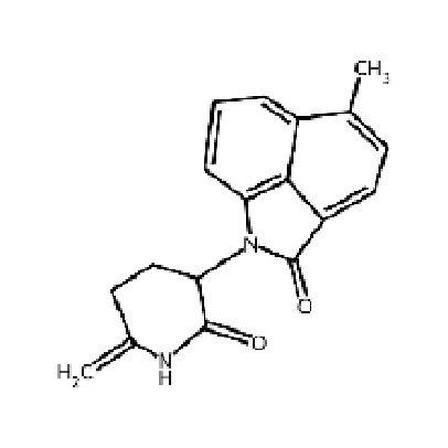 C=C1CCC(N2C(=O)c3ccc(C)c4cccc2c34)C(=O)N1